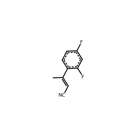 CC(=CC#N)c1ccc(F)cc1F